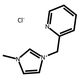 Cn1cc[n+](Cc2ccccn2)c1.[Cl-]